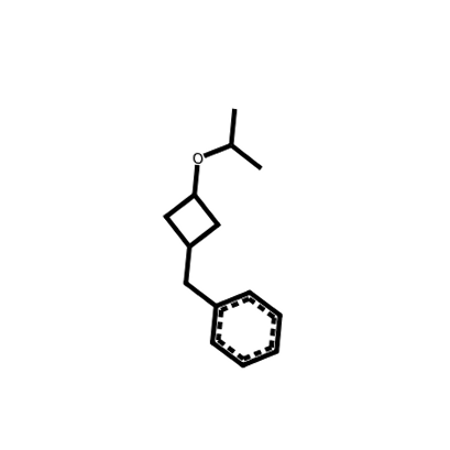 CC(C)OC1CC(Cc2ccccc2)C1